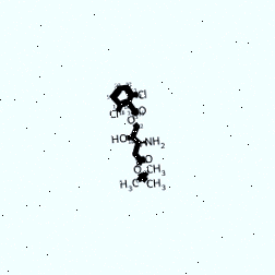 CC(C)(C)OC(=O)C[C@H](N)C(O)COC(=O)c1c(Cl)cccc1Cl